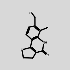 Cc1c(CCl)ccc2c3c(c(=O)[nH]c12)CCO3